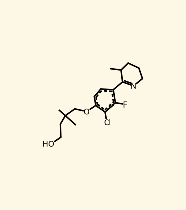 CC1CCCN=C1c1ccc(OCC(C)(C)CCO)c(Cl)c1F